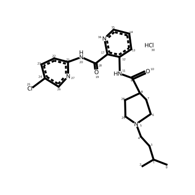 CC(C)CCN1CCC(C(=O)Nc2cccnc2C(=O)Nc2ccc(Cl)cn2)CC1.Cl